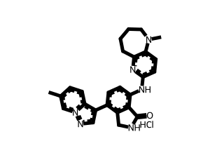 Cc1ccc2c(-c3ccc(Nc4ccc5c(n4)CCCCN5C)c4c3CNC4=O)cnn2c1.Cl